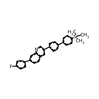 C[Si](C)(C)c1ccc(-c2ccc(-c3cnc4cc(-c5ccc(F)cc5)ccc4c3)cc2)cc1